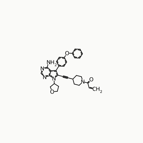 C=CC(=O)N1CCC(C#Cc2c(-c3ccc(Oc4ccccc4)cc3)c3c(N)ncnc3n2C2CCOC2)CC1